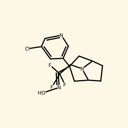 ON=CC1(c2cncc(Cl)c2)CC2CCC(C1)N2CC(F)(F)F